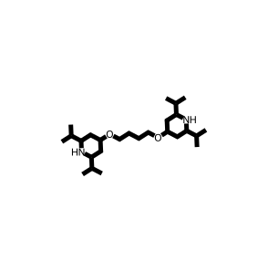 CC(C)C1CC(OCCCCOC2CC(C(C)C)NC(C(C)C)C2)CC(C(C)C)N1